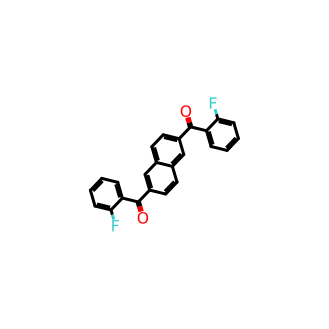 O=C(c1ccc2cc(C(=O)c3ccccc3F)ccc2c1)c1ccccc1F